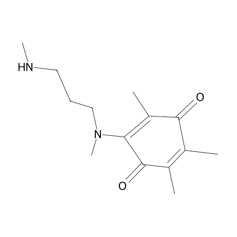 CNCCCN(C)C1=C(C)C(=O)C(C)=C(C)C1=O